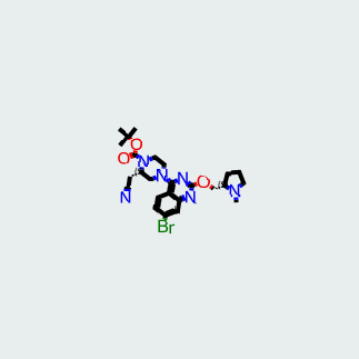 CN1CCC[C@H]1COc1nc(N2CCN(C(=O)OC(C)(C)C)[C@@H](CC#N)C2)c2ccc(Br)cc2n1